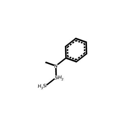 CN([SiH2][SiH3])c1ccccc1